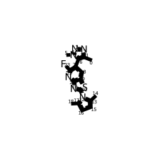 Cc1nnn(C)c1-c1cc2sc(-n3c(C)ccc3C)nc2nc1F